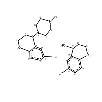 CN1CCN(C2CCOc3ccc(I)cc32)CC1.OC1CCOc2ccc(I)cc21